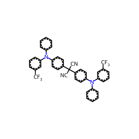 N#CC(C#N)(c1ccc(N(c2ccccc2)c2cccc(C(F)(F)F)c2)cc1)c1ccc(N(c2ccccc2)c2cccc(C(F)(F)F)c2)cc1